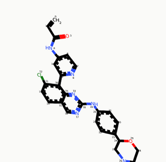 C=CC(=O)Nc1ccnc(-c2c(Cl)ccc3cnc(Nc4ccc(C5CNCCO5)cc4)nc23)c1